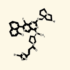 CC(C)c1noc(/C=C/C(=O)N2CC[C@@H](N(C)c3nc(OC[C@@]45CCCN4C[C@H](F)C5)nc4c(F)c(-c5cccc6cccc(Cl)c56)ncc34)C2)n1